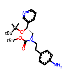 CC(C)(C)OC(=O)N(CCc1ccc(N)cc1)C[C@H](O[Si](C)(C)C(C)(C)C)c1cccnc1